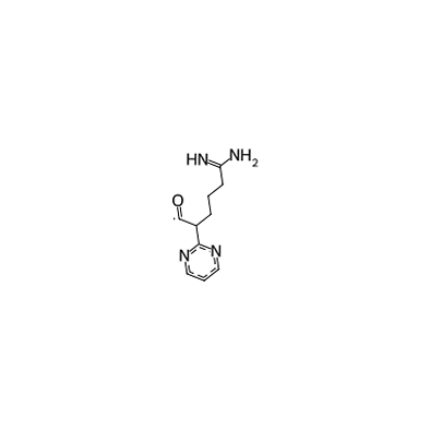 N=C(N)CCCC([C]=O)c1ncccn1